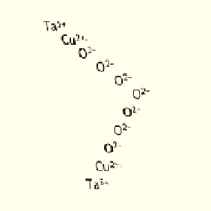 [Cu+2].[Cu+2].[O-2].[O-2].[O-2].[O-2].[O-2].[O-2].[O-2].[Ta+5].[Ta+5]